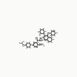 CC(C)Oc1ccc(-c2cnc(N)c(C(=O)N[C@H](C)c3nc4cccc(-c5ccncc5)c4c(=O)n3-c3ccccc3)n2)cc1